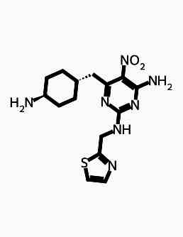 Nc1nc(NCc2nccs2)nc(C[C@H]2CC[C@H](N)CC2)c1[N+](=O)[O-]